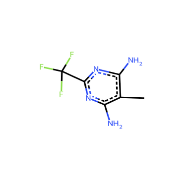 Cc1c(N)nc(C(F)(F)F)nc1N